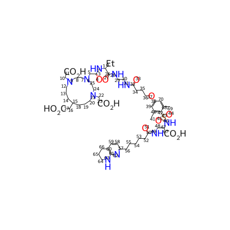 CCC(NC(=O)CN1CCN(CC(=O)O)CCCC(CC(=O)O)CCCN(CC(=O)O)CC1)C(=O)NCCNC(=O)CCCOc1cc(C)c(S(=O)(=O)NC(CNC(=O)CCCCCc2ccc3c(n2)NCCC3)C(=O)O)c(C)c1